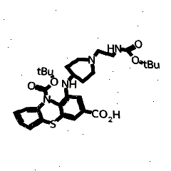 CC(C)(C)OC(=O)NCCN1CCC(Nc2cc(C(=O)O)cc3c2N(C(=O)OC(C)(C)C)c2ccccc2S3)CC1